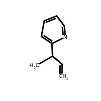 [CH2]C(C=C)c1ccccn1